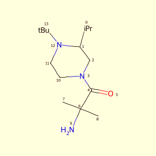 CC(C)C1CN(C(=O)C(C)(C)N)CCN1C(C)(C)C